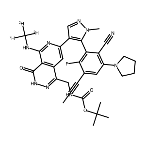 [2H]C([2H])([2H])Nc1nc(-c2cnn(C)c2-c2c(F)c(C#CC)cc(N3CCCC3)c2C#N)cc2c(CNC(=O)OC(C)(C)C)n[nH]c(=O)c12